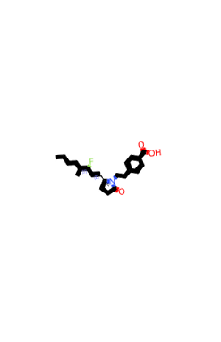 CCCC/C(C)=C(F)/C=C/[C@H]1CCC(=O)N1CCc1ccc(C(=O)O)cc1